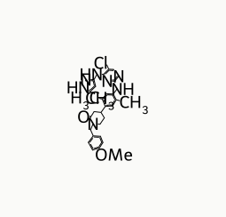 COc1ccc(CN2CCC(c3cc(C)c(Nc4ncc(Cl)c(Nc5cc(C)[nH]n5)n4)cc3C)CC2=O)cc1